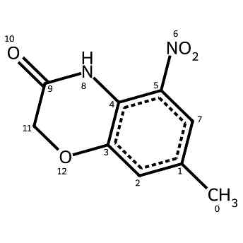 Cc1cc2c(c([N+](=O)[O-])c1)NC(=O)CO2